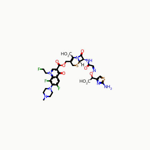 CN1CCN(c2c(F)cc3c(=O)c(C(=O)OCC4=C(C(=O)O)N5C(=O)[C@@H](NC(=O)/C=N\OC(C(=O)O)c6csc(N)n6)[C@H]5SC4)cn(CCF)c3c2F)CC1